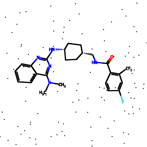 CN(C)c1nc(N[C@H]2CC[C@@H](CNC(=O)c3ccc(F)cc3C(F)(F)F)CC2)nc2ccccc12